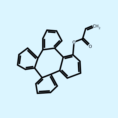 C=CC(=O)Oc1cccc2c1-c1ccccc1-c1ccccc1-c1ccccc1-2